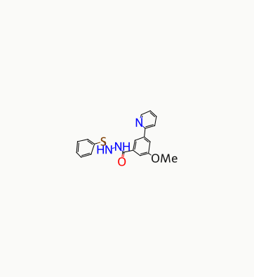 COc1cc(C(=O)NNSc2ccccc2)cc(-c2ccccn2)c1